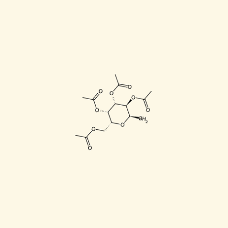 B[C@H]1O[C@H](COC(C)=O)[C@H](OC(C)=O)[C@H](OC(C)=O)[C@H]1OC(C)=O